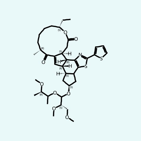 CC[C@H]1CCCC[C@@H](C)C(=O)C2=C[C@@H]3[C@@H](c4nc(-c5cccs5)sc4C4C[C@@H](OC(OC(C)[C@@H](C)OC)[C@H](COC)OC)C[C@H]43)[C@@H]2CC(=O)O1